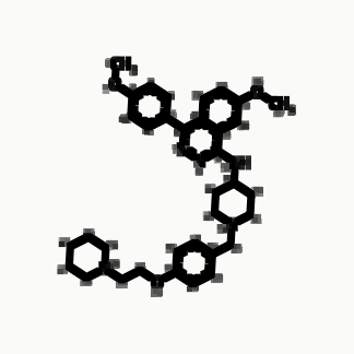 COc1ccc(-c2nnc(NC3CCN(Cc4ccc(OCCN5CCCCC5)cc4)CC3)c3cc(OC)ccc23)cc1